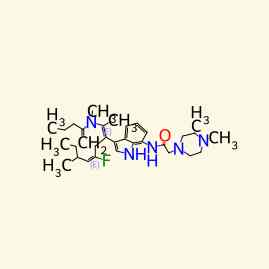 C=C(CCC)N(C)/C(C)=C(\C/C(F)=C\C(C)CC)c1c[nH]c2c(NC(=O)CN3CCN(C)C(C)C3)cccc12